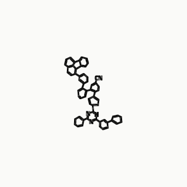 N#Cc1ccc(-c2ccc(-c3nc(-c4ccccc4)nc(-c4cccc(-c5ccccc5)c4)n3)cc2)c(-c2ccccc2-c2cccc(-c3ccc4cccc5c4c3-c3ccccc3-5)c2)c1